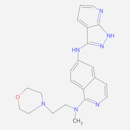 CN(CCN1CCOCC1)c1nccc2cc(Nc3n[nH]c4ncccc34)ccc12